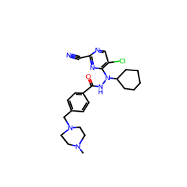 CN1CCN(Cc2ccc(C(=O)NN(c3nc(C#N)ncc3Cl)C3CCCCC3)cc2)CC1